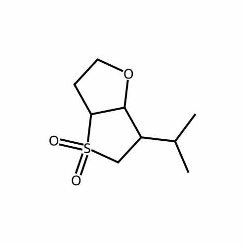 CC(C)C1CS(=O)(=O)C2CCOC12